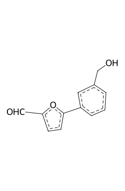 O=Cc1ccc(-c2cccc(CO)c2)o1